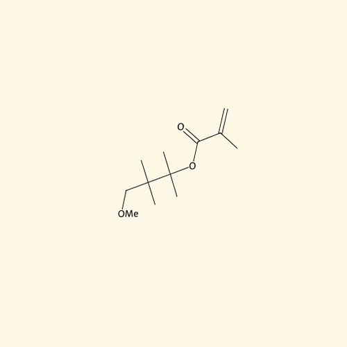 C=C(C)C(=O)OC(C)(C)C(C)(C)COC